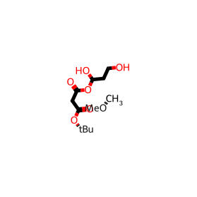 CC(C)(C)OC(=O)CC(=O)OC(O)CCO.COC